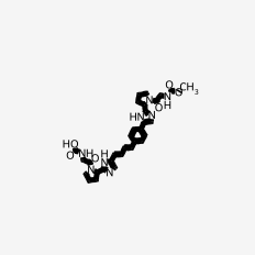 COC(=O)NCC(=O)N1CCCC1c1ncc(-c2ccc(C=CC=Cc3cnc(C4CCCN4C(=O)CNC(=O)O)[nH]3)cc2)[nH]1